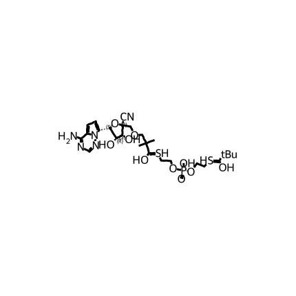 CC(C)(C)C(O)=[SH]CCOP(=O)(O)OCC[SH]=C(O)C(C)(C)COC[C@@]1(C#N)O[C@@H](c2ccc3c(N)ncnn23)[C@H](O)[C@@H]1O